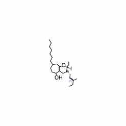 CCCCCCCC1CCC(O)C2=C(C1)OC(I)(I)[C@H](C/C=C(\C)CC)C2